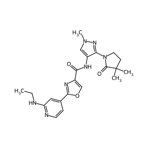 CCNc1cc(-c2nc(C(=O)Nc3cn(C)nc3N3CCC(C)(C)C3=O)co2)ccn1